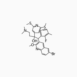 COc1nc2ccc(Br)cc2cc1C(c1cccc(C)c1F)C(O)(CCN(C)C)c1cc(SC)nc(SC)c1